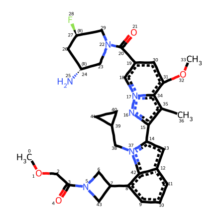 COCC(=O)N1CC(c2cccc3cc(-c4nn5cc(C(=O)N6C[C@H](N)C[C@@H](F)C6)cc(OC)c5c4C)n(CC4CC4)c23)C1